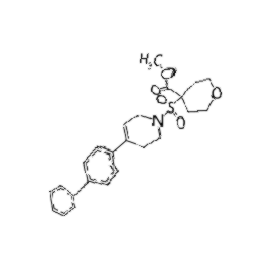 COC(=O)C1(S(=O)(=O)N2CC=C(c3ccc(-c4ccccc4)cc3)CC2)CCOCC1